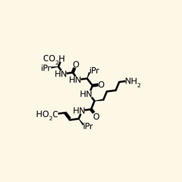 CC(C)[C@H](NC(=O)N[C@H](C(=O)N[C@@H](CCCCN)C(=O)N[C@H](/C=C/C(=O)O)C(C)C)C(C)C)C(=O)O